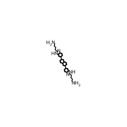 NCCCCc1nc2ccc(-c3ccc4cc(-c5ccc6nc(CCCCN)[nH]c6c5)ccc4c3)cc2[nH]1